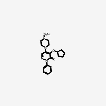 CON1CCN(c2cnn(-c3ccccc3)c(=O)c2OC2CCCC2)CC1